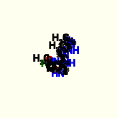 COc1c(F)cccc1Nc1c(-c2ccnc(Nc3nnn(C)c3C)n2)[nH]c2c1C(=O)NCC2